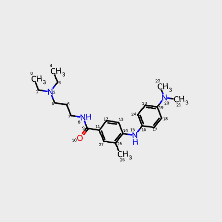 CCN(CC)CCCNC(=O)c1ccc(Nc2ccc(N(C)C)cc2)c(C)c1